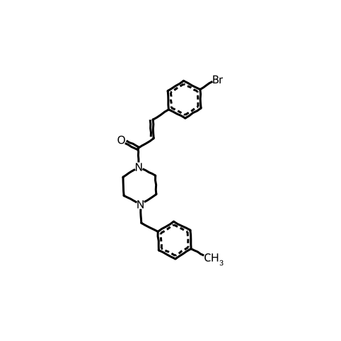 Cc1ccc(CN2CCN(C(=O)C=Cc3ccc(Br)cc3)CC2)cc1